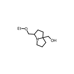 CCOCC1CCC2(CO)CCCN12